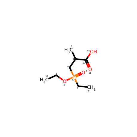 CCOP(=O)(CC)CC(C)C(=O)O